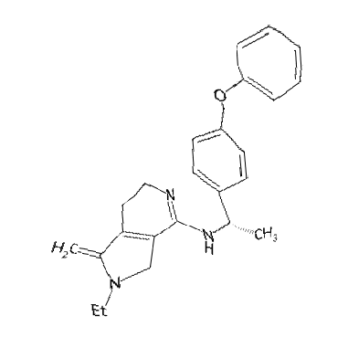 C=C1C2=C(CN1CC)C(N[C@@H](C)c1ccc(Oc3ccccc3)cc1)=NCC2